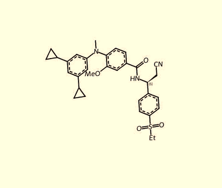 CCS(=O)(=O)c1ccc([C@H](CC#N)NC(=O)c2ccc(N(C)c3cc(C4CC4)cc(C4CC4)c3)c(OC)c2)cc1